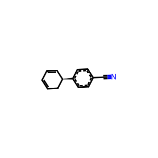 N#Cc1ccc([C@@H]2C=CC=CC2)cc1